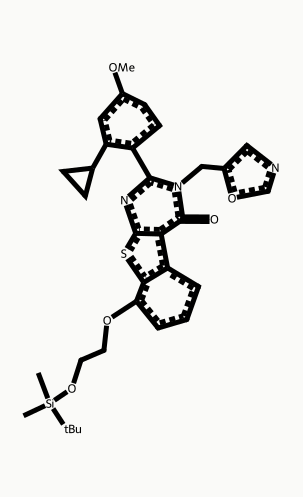 COc1ccc(-c2nc3sc4c(OCCO[Si](C)(C)C(C)(C)C)cccc4c3c(=O)n2Cc2cnco2)c(C2CC2)c1